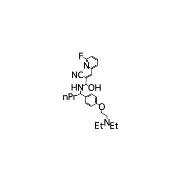 CCCC(NC(O)/C(C#N)=C/c1cccc(F)n1)c1ccc(OCCN(CC)CC)cc1